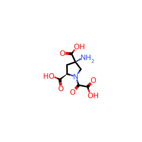 N[C@]1(C(=O)O)C[C@H](C(=O)O)N(C(=O)C(=O)O)C1